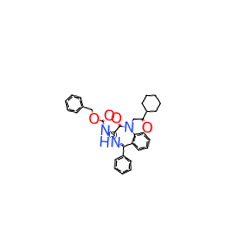 O=C(N[C@H]1N=C(c2ccccc2)c2ccccc2N(CC(=O)C2CCCCC2)C1=O)OCc1ccccc1